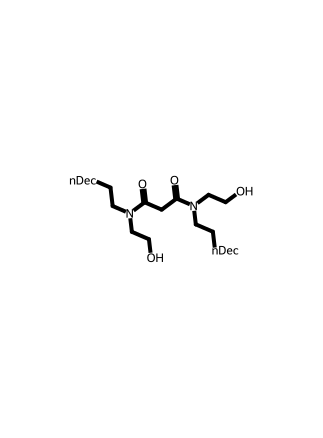 CCCCCCCCCCCCN(CCO)C(=O)CC(=O)N(CCO)CCCCCCCCCCCC